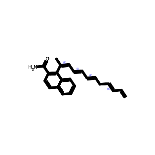 C=C/C=C/C/C=C/C=C/C=C(/C)c1c(C(N)=O)ccc2ccccc12